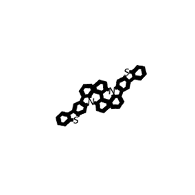 c1ccc(-n2c3ccccc3c3cc4c(cc32)sc2ccccc24)c(-c2ccccc2-n2c3ccccc3c3cc4c(cc32)sc2ccccc24)c1